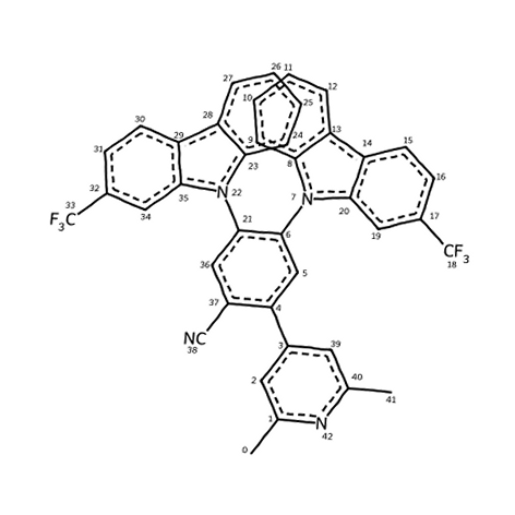 Cc1cc(-c2cc(-n3c4ccccc4c4ccc(C(F)(F)F)cc43)c(-n3c4ccccc4c4ccc(C(F)(F)F)cc43)cc2C#N)cc(C)n1